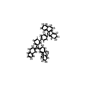 c1cc(-c2ccc(-n3c4ccccc4c4ccc5ccccc5c43)cc2)cc(N(c2ccc3ccccc3c2)c2ccc3oc4cccnc4c3c2)c1